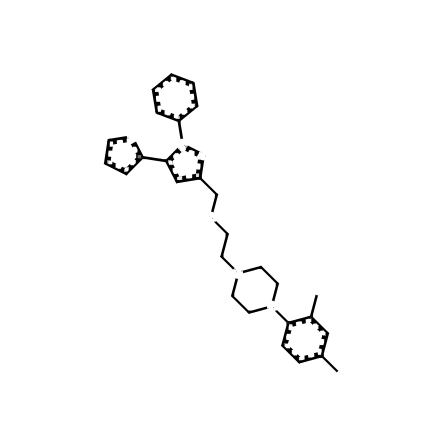 Cc1ccc(N2CCN(CCNCc3cc(-c4ccco4)n(-c4ccccc4)n3)CC2)c(C)c1